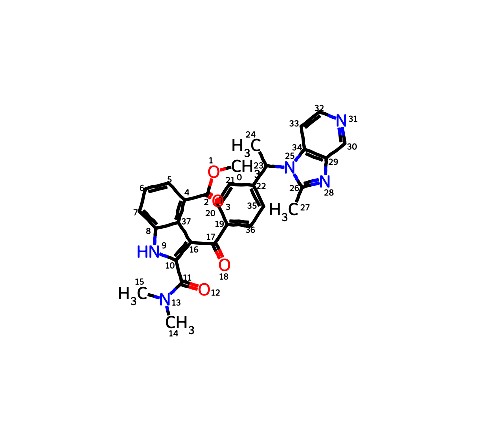 COC(=O)c1cccc2[nH]c(C(=O)N(C)C)c(C(=O)c3ccc(C(C)n4c(C)nc5cnccc54)cc3)c12